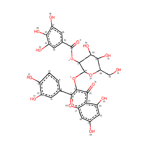 O=C(OC1C(Oc2c(-c3ccc(O)c(O)c3)oc3cc(O)cc(O)c3c2=O)OC(CO)C(O)C1O)c1cc(O)c(O)c(O)c1